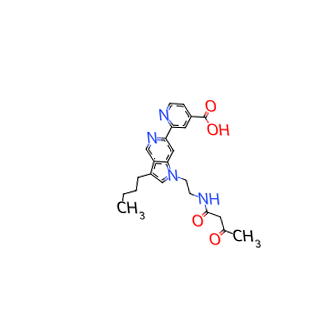 CCCCc1cn(CCNC(=O)CC(C)=O)c2cc(-c3cc(C(=O)O)ccn3)ncc12